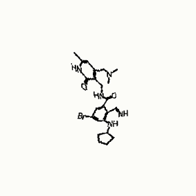 Cc1cc(CN(C)C)c(CNC(=O)c2cc(Br)cc(NC3CCCC3)c2C=N)c(=O)[nH]1